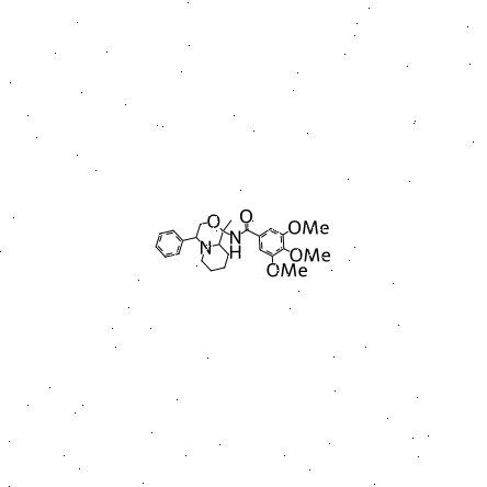 COc1cc(C(=O)NC2(C)OCC(c3ccccc3)N3CCCCC32)cc(OC)c1OC